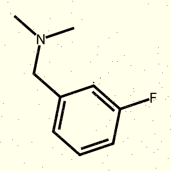 CN(C)Cc1[c]c(F)ccc1